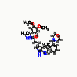 COc1ccc([C@@H](C)NC(=O)/C=C/c2c[nH]c3ncc(C4(C)CC=CC=C4CN4CCOCC4)cc23)cc1OC